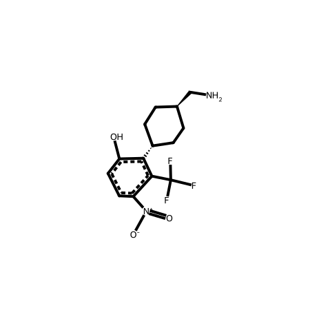 NC[C@H]1CC[C@H](c2c(O)ccc([N+](=O)[O-])c2C(F)(F)F)CC1